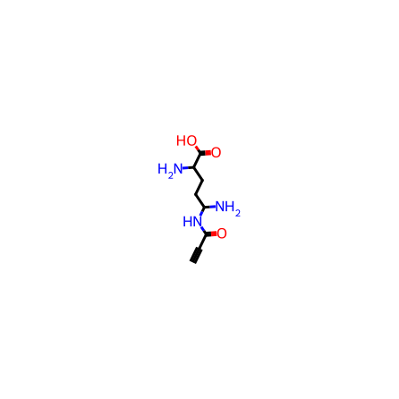 C#CC(=O)NC(N)CCC(N)C(=O)O